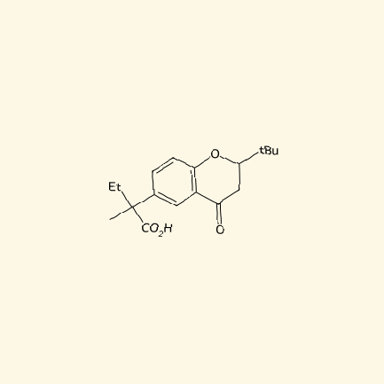 CCC(C)(C(=O)O)c1ccc2c(c1)C(=O)CC(C(C)(C)C)O2